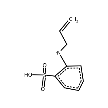 C=CC[N]c1ccccc1S(=O)(=O)O